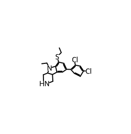 CCSc1cc(-c2ccc(Cl)cc2Cl)cc2c1N(CC)C1CCNCC21